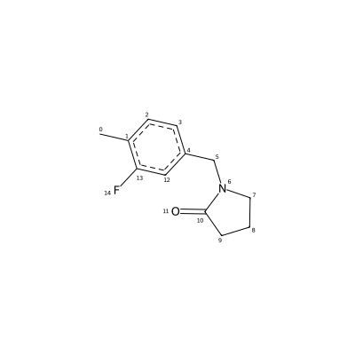 Cc1ccc(CN2CCCC2=O)cc1F